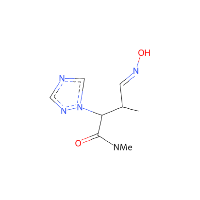 CNC(=O)C(C(C)C=NO)n1cncn1